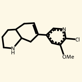 COc1cc(C2=CCC3CCCNC3C2)cnc1Cl